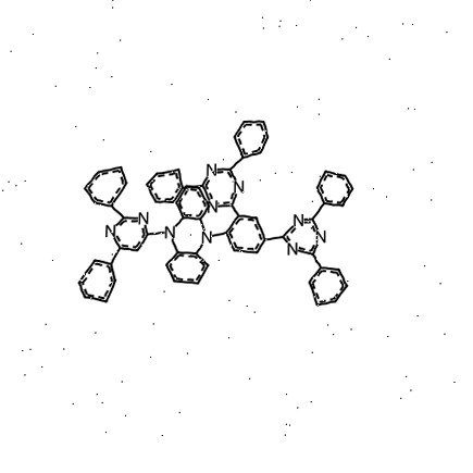 c1ccc(-c2cc(N3c4ccccc4N(c4ccc(-c5nc(-c6ccccc6)nc(-c6ccccc6)n5)cc4-c4nc(-c5ccccc5)nc(-c5ccccc5)n4)c4ccccc43)nc(-c3ccccc3)n2)cc1